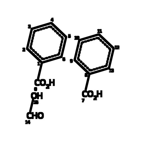 O=C(O)c1ccccc1.O=C(O)c1ccccc1.O=CO